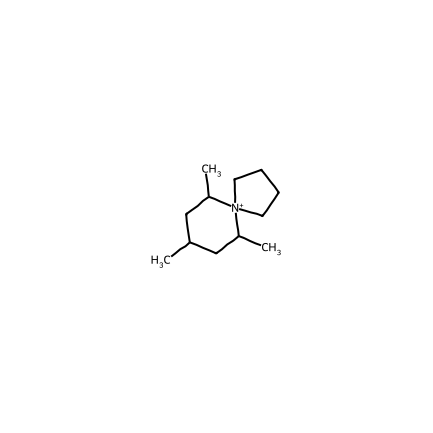 CC1CC(C)[N+]2(CCCC2)C(C)C1